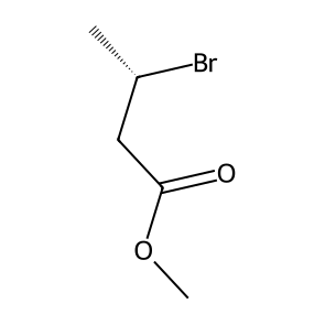 COC(=O)C[C@H](C)Br